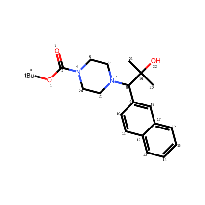 CC(C)(C)OC(=O)N1CCN(C(c2ccc3ccccc3c2)C(C)(C)O)CC1